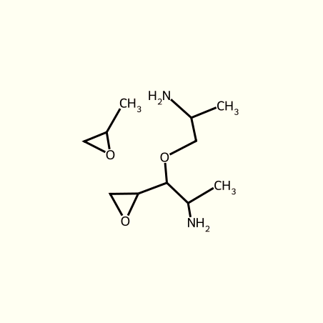 CC(N)COC(C(C)N)C1CO1.CC1CO1